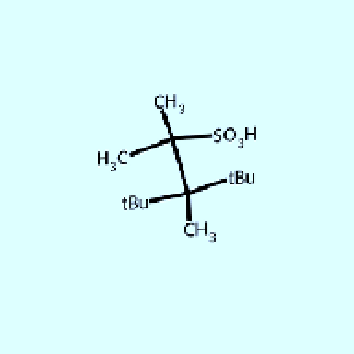 CC(C)(C)C(C)(C(C)(C)C)C(C)(C)S(=O)(=O)O